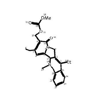 CCC1=C2Cn3c(cc(C)c(COC(=O)OC)c3=O)C2N(C)c2ccccc21